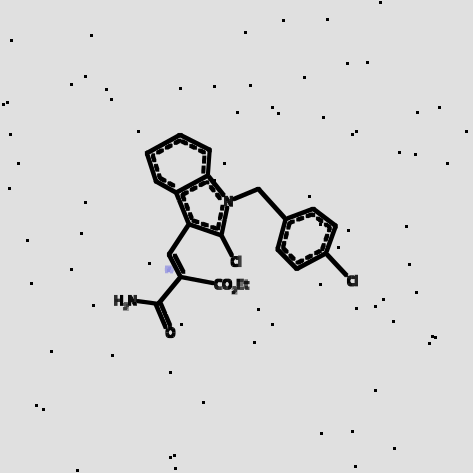 CCOC(=O)/C(=C\c1c(Cl)n(Cc2ccc(Cl)cc2)c2ccccc12)C(N)=O